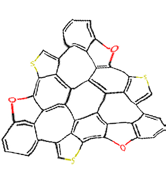 c1cc2oc3c4scc5c6cccc7oc8c9scc%10c%11cccc%12oc%13c%14scc%15c(c1)c2c3c1c(c54)c(c8c76)c(c%109)c(c%13c%12%11)c1c%15%14